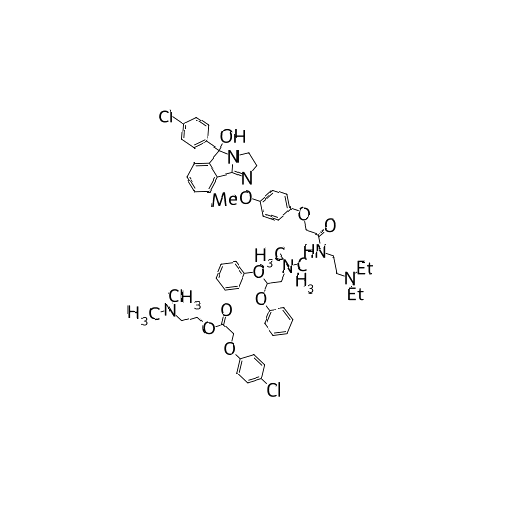 CCN(CC)CCNC(=O)COc1ccc(OC)cc1.CN(C)CC(Oc1ccccc1)Oc1ccccc1.CN(C)CCOC(=O)COc1ccc(Cl)cc1.OC1(c2ccc(Cl)cc2)c2ccccc2C2=NCCN21